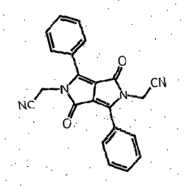 N#CCN1C(=O)C2=C(c3ccccc3)N(CC#N)C(=O)C2=C1c1ccccc1